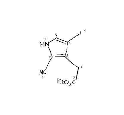 CCOC(=O)Cc1c(I)c[nH]c1C#N